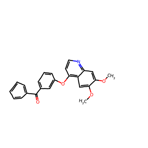 COc1cc2nccc(Oc3cccc(C(=O)c4ccccc4)c3)c2cc1OC